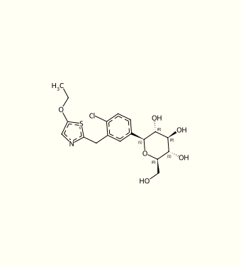 CCOc1cnc(Cc2cc([C@@H]3O[C@H](CO)[C@@H](O)[C@H](O)[C@H]3O)ccc2Cl)s1